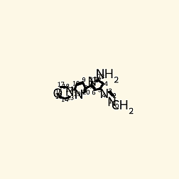 C=N/C=C\N=C1\C=C(c2ccc(N3CCCOCC3)nc2)N=C(N)C1